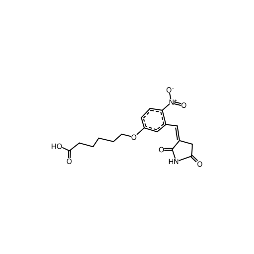 O=C(O)CCCCCOc1ccc([N+](=O)[O-])c(C=C2CC(=O)NC2=O)c1